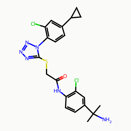 CC(C)(N)c1ccc(NC(=O)CSc2nnnn2-c2ccc(C3CC3)cc2Cl)c(Cl)c1